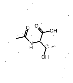 CC(=O)NC(C(=O)O)[C@H](C)O